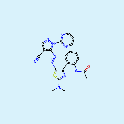 CC(=O)Nc1ccccc1-c1nc(N(C)C)sc1/N=N/c1c(C#N)cnn1-c1ncccn1